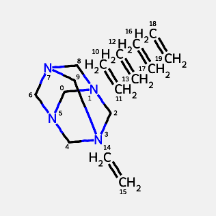 C1N2CN3CN1CN(C2)C3.C=C.C=C.C=C.C=C.C=C